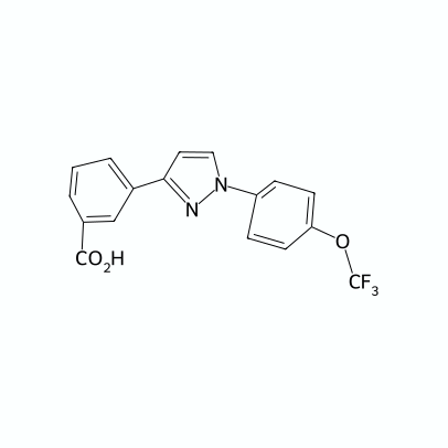 O=C(O)c1cccc(-c2ccn(-c3ccc(OC(F)(F)F)cc3)n2)c1